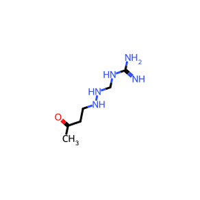 CC(=O)CCNNCNC(=N)N